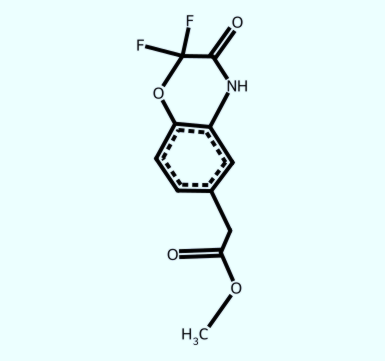 COC(=O)Cc1ccc2c(c1)NC(=O)C(F)(F)O2